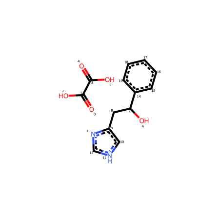 O=C(O)C(=O)O.OC(Cc1c[nH]cn1)c1ccccc1